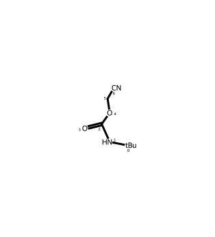 CC(C)(C)NC(=O)OCC#N